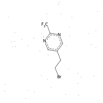 FC(F)(F)c1ncc(CCBr)cn1